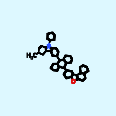 CC1C=Cc2c(c3cc(-c4c5ccccc5c(-c5ccc6oc7ccc8ccccc8c7c6c5)c5ccccc45)ccc3n2-c2ccccc2)C1